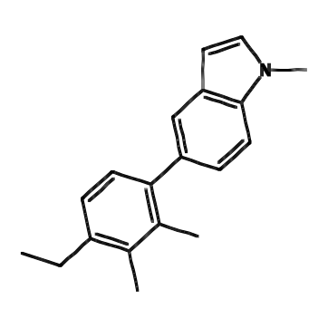 CCc1ccc(-c2ccc3c(ccn3C)c2)c(C)c1C